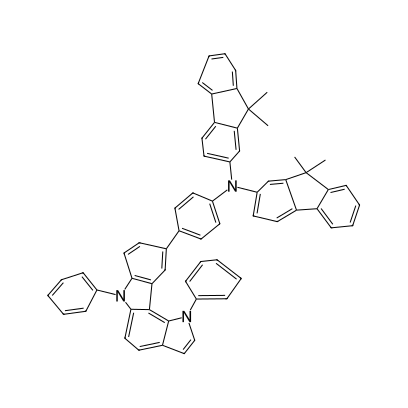 CC1(C)c2ccccc2-c2ccc(N(c3ccc(-c4ccc5c(c4)c4c6c(ccc4n5-c4ccccc4)ccn6-c4ccccc4)cc3)c3ccc4c(c3)C(C)(C)c3ccccc3-4)cc21